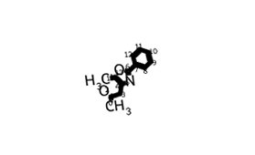 CC(=O)Cc1nc(-c2ccccc2)oc1C